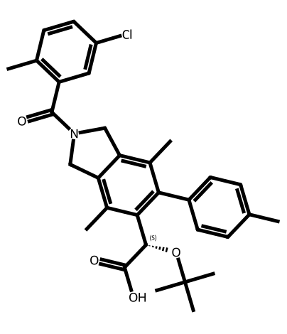 Cc1ccc(-c2c(C)c3c(c(C)c2[C@H](OC(C)(C)C)C(=O)O)CN(C(=O)c2cc(Cl)ccc2C)C3)cc1